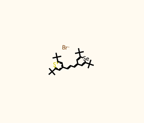 CC(C)(C)C1=CC(=C/C=C/c2cc(C(C)(C)C)[s+]c(C(C)(C)C)c2)C=C(C(C)(C)C)[Se]1.[Br-]